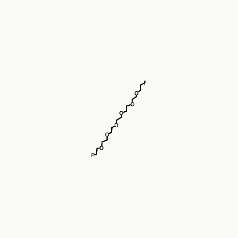 FCCOCCOCCOCCOCCOCCOCCF